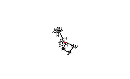 CCCC(=O)N[C@@H](CCCCNC(=O)CC[C@@H]1c2nc(cc3[nH]c(cc4nc(cc5[nH]c6c(c5C)C(=O)C(C(=O)O)c26)[C@H](CC)[C@H]4C)c(C(C)=O)c3C)[C@H]1C)C(=O)NN